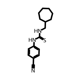 N#Cc1ccc(NC(=S)NCC2CCCCCC2)cc1